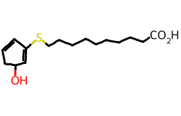 O=C(O)CCCCCCCCCSC1=CC(O)CC=C1